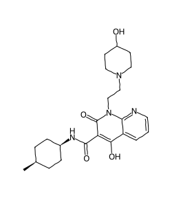 C[C@H]1CC[C@@H](NC(=O)c2c(O)c3cccnc3n(CCN3CCC(O)CC3)c2=O)CC1